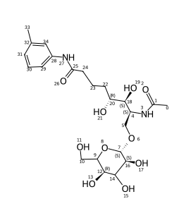 CC(=O)N[C@@H](CO[C@H]1OC(CO)[C@H](O)C(O)[C@@H]1O)[C@H](O)[C@H](O)CCCC(=O)Nc1cccc(C)c1